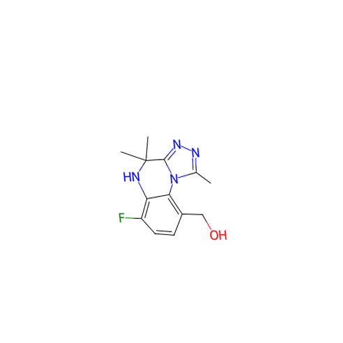 Cc1nnc2n1-c1c(CO)ccc(F)c1NC2(C)C